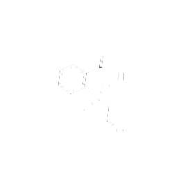 O=CCS(=O)(=O)c1ccccc1C(=O)O